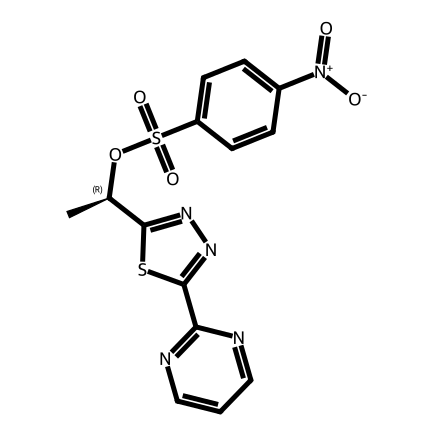 C[C@@H](OS(=O)(=O)c1ccc([N+](=O)[O-])cc1)c1nnc(-c2ncccn2)s1